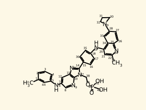 Cc1cccc(Nc2cnc3c(c2)nc(-c2ccc(Nc4cc(C)nc5ccc(N6CCC6)cc45)cc2)n3COP(=O)(O)O)c1